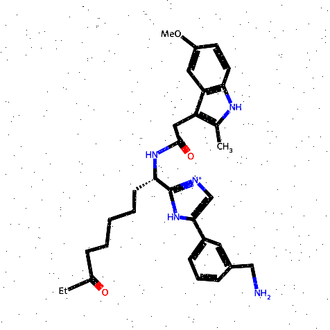 CCC(=O)CCCCC[C@H](NC(=O)Cc1c(C)[nH]c2ccc(OC)cc12)C1=[N+]C=C(c2cccc(CN)c2)N1